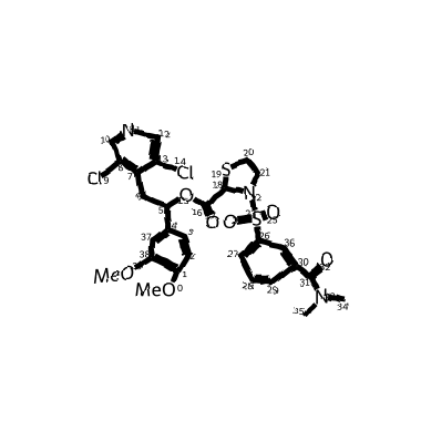 COc1ccc(C(Cc2c(Cl)cncc2Cl)OC(=O)C2SCCN2S(=O)(=O)c2cccc(C(=O)N(C)C)c2)cc1OC